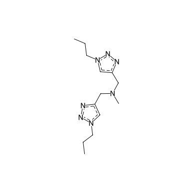 CCCn1cc(CN(C)Cc2cn(CCC)nn2)nn1